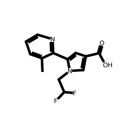 Cc1cccnc1-c1cc(C(=O)O)cn1CC(F)F